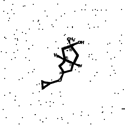 C[C@@]1(O)C[C@H]2C[C@H](OC3CC3)C[C@H]2C1